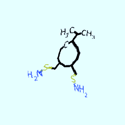 CC(C)C1CCCC(CSN)CC(CSN)CCC1